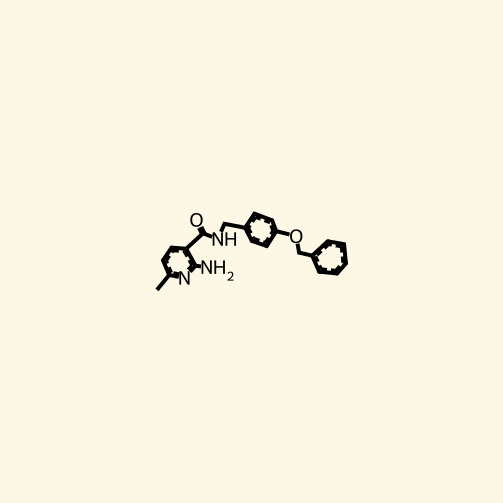 Cc1ccc(C(=O)NCc2ccc(OCc3ccccc3)cc2)c(N)n1